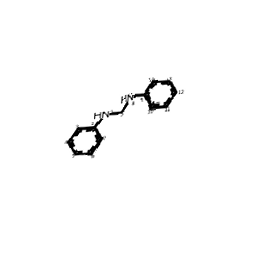 [CH](Nc1ccccc1)Nc1ccccc1